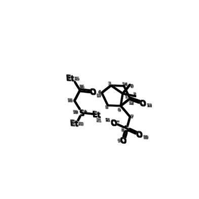 CC1(C)C2CCC1(CS(=O)(=O)[O-])C(=O)C2.CCC(=O)C[S+](CC)CC